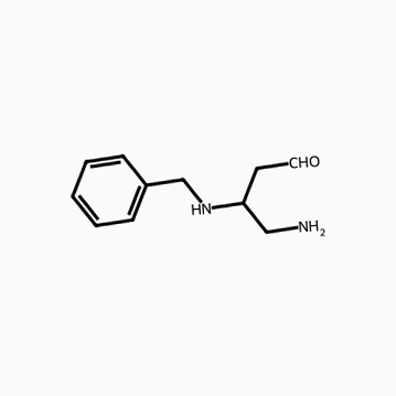 NCC(CC=O)NCc1ccccc1